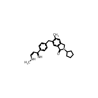 CN/C=C\C(=N)c1ccc(Cc2cc3c(cc2C)CN(C2CCCC2)C3=O)cc1